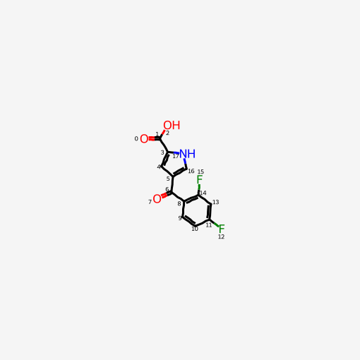 O=C(O)c1cc(C(=O)c2ccc(F)cc2F)c[nH]1